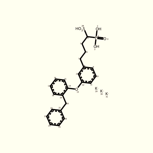 O=P(O)(O)C(CCCc1cccc(Oc2ccccc2Cc2ccccc2)c1)S(=O)(=O)O.[K].[K].[K]